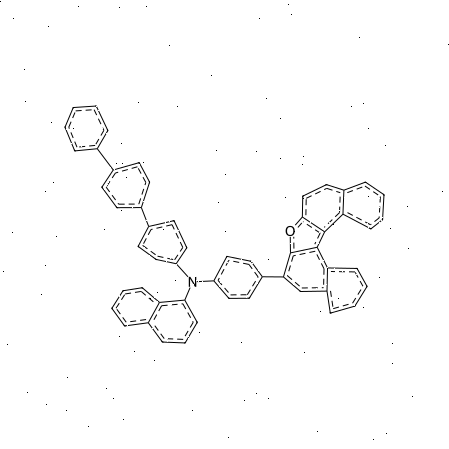 c1ccc(-c2ccc(-c3ccc(N(c4ccc(-c5cc6ccccc6c6c5oc5ccc7ccccc7c56)cc4)c4cccc5ccccc45)cc3)cc2)cc1